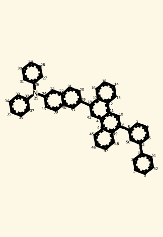 c1ccc(-c2cccc(-c3cc4c5ccccc5c(-c5ccc6cc(N(c7ccccc7)c7ccccc7)ccc6c5)cc4c4ccccc34)c2)cc1